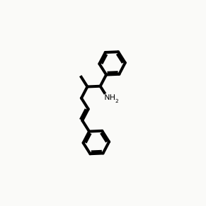 CC(CC=Cc1ccccc1)C(N)c1ccccc1